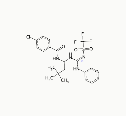 CC(C)(C)CC(NC(=O)c1ccc(Cl)cc1)N/C(=N\S(=O)(=O)C(F)(F)F)Nc1cccnc1